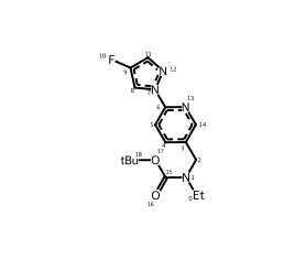 CCN(Cc1ccc(-n2cc(F)cn2)nc1)C(=O)OC(C)(C)C